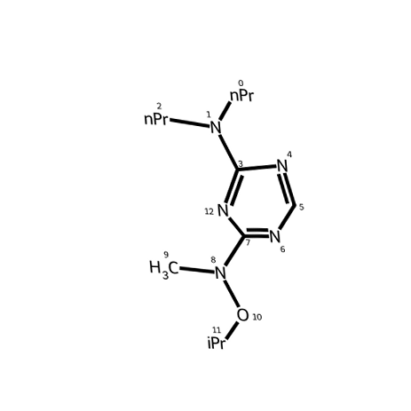 CCCN(CCC)c1ncnc(N(C)OC(C)C)n1